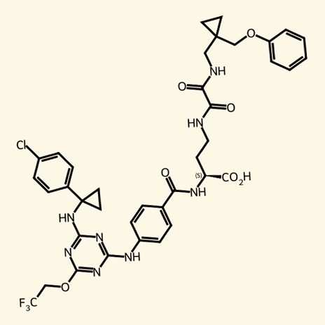 O=C(NCC[C@H](NC(=O)c1ccc(Nc2nc(NC3(c4ccc(Cl)cc4)CC3)nc(OCC(F)(F)F)n2)cc1)C(=O)O)C(=O)NCC1(COc2ccccc2)CC1